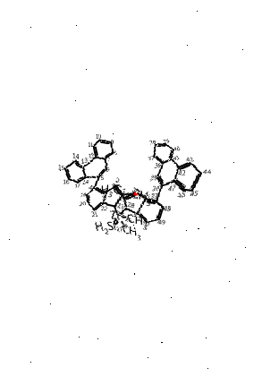 CC1=Cc2c(-c3cc4ccccc4c4ccccc34)cccc2[CH]1[Zr]([CH3])([CH3])(=[SiH2])[CH]1C(C)=Cc2c(-c3cc4ccccc4c4ccccc34)cccc21